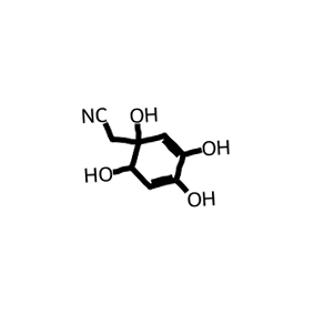 N#CCC1(O)C=C(O)C(O)=CC1O